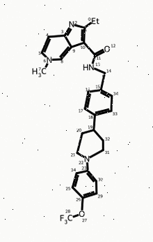 CCc1nc2ccn(C)cc-2c1C(=O)NCc1ccc(C2CCN(c3ccc(OC(F)(F)F)cc3)CC2)cc1